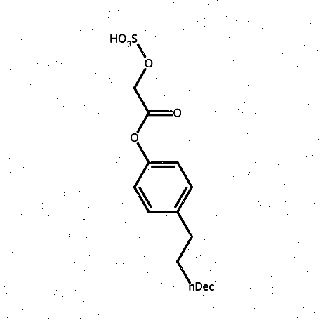 CCCCCCCCCCCCc1ccc(OC(=O)COS(=O)(=O)O)cc1